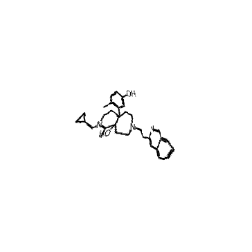 Cc1ccc(O)cc1C12CCN(CCc3cc4ccccc4cn3)CCC1(O)C(C)N(CC1CC1)CC2